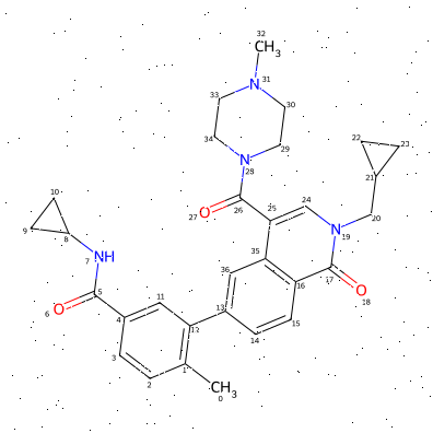 Cc1ccc(C(=O)NC2CC2)cc1-c1ccc2c(=O)n(CC3CC3)cc(C(=O)N3CCN(C)CC3)c2c1